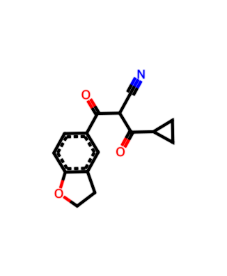 N#CC(C(=O)c1ccc2c(c1)CCO2)C(=O)C1CC1